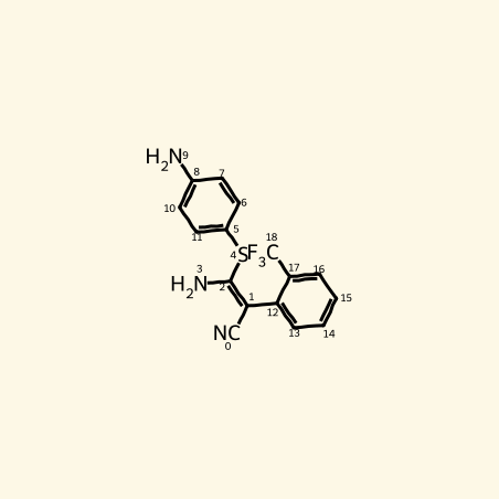 N#C/C(=C(\N)Sc1ccc(N)cc1)c1ccccc1C(F)(F)F